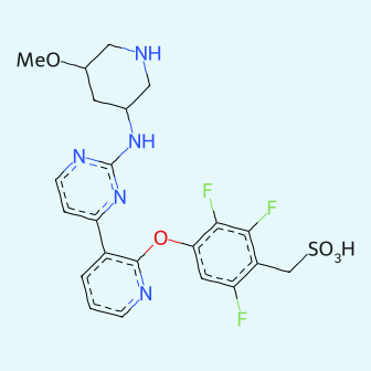 COC1CNCC(Nc2nccc(-c3cccnc3Oc3cc(F)c(CS(=O)(=O)O)c(F)c3F)n2)C1